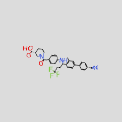 Cc1cc(-c2ccc(C#N)cc2)ccc1C(CCC(F)(F)F)Nc1ccc(C(=O)N2CCC[C@@H](C(=O)O)C2)cc1